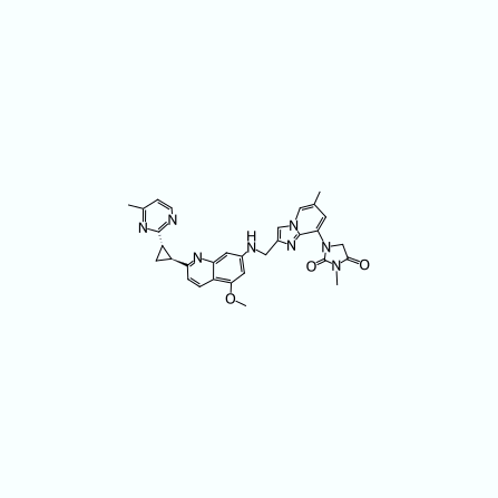 COc1cc(NCc2cn3cc(C)cc(N4CC(=O)N(C)C4=O)c3n2)cc2nc([C@H]3C[C@@H]3c3nccc(C)n3)ccc12